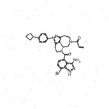 C=CC(=O)N1CCc2nn(-c3ccc(C4CCC4)cc3)c3c2C(C1)N(C(=O)c1ccc(Br)c2[nH]nc(N)c12)CC3